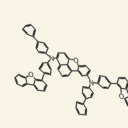 c1ccc(-c2ccc(N(c3ccc(-c4cccc5c4oc4ccccc45)cc3)c3ccc4c(c3)-c3cccc5c(N(c6ccc(-c7ccccc7)cc6)c6ccc(-c7cccc8c7oc7ccccc78)cc6)ccc(c35)O4)cc2)cc1